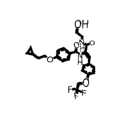 O=C(NCCO)/C(=C/c1ccc(OCC(F)(F)F)cc1)NC(=O)c1ccc(OCCC2CC2)cc1